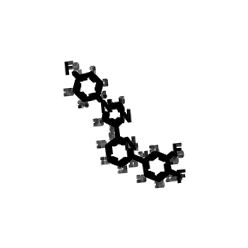 Fc1ccc(-n2cnc(-c3cccc(-c4ccc(F)c(F)c4)n3)c2)cc1